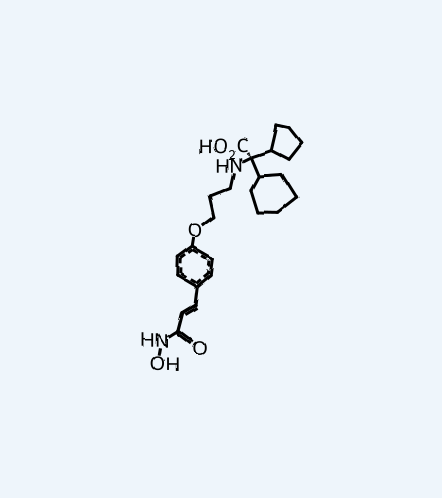 O=C(C=Cc1ccc(OCCCN[C@](C(=O)O)(C2CCCCC2)C2CCCC2)cc1)NO